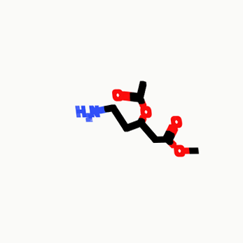 COC(=O)CC(CCN)OC(C)=O